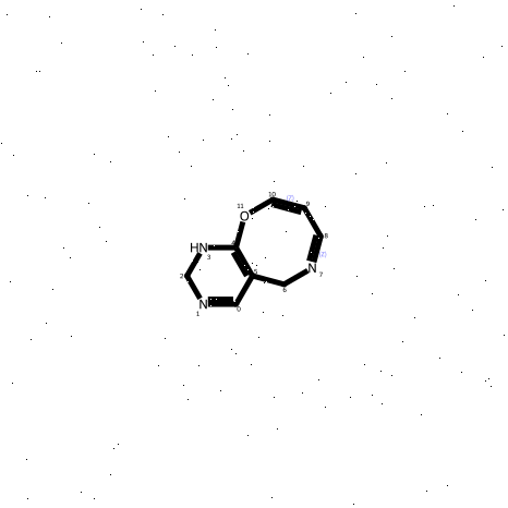 C1=NCNC2=C1C/N=C\C=C/O2